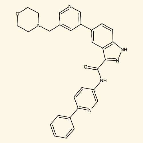 O=C(Nc1ccc(-c2ccccc2)nc1)c1n[nH]c2ccc(-c3cncc(CN4CCOCC4)c3)cc12